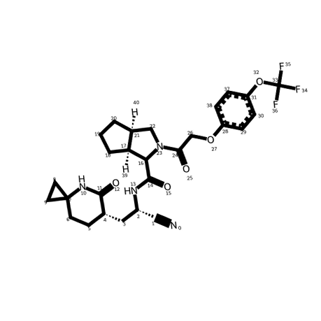 N#C[C@H](C[C@@H]1CCC2(CC2)NC1=O)NC(=O)C1[C@H]2CCC[C@H]2CN1C(=O)COc1ccc(OC(F)(F)F)cc1